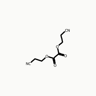 N#CCCOC(=O)C(=O)OCCC#N